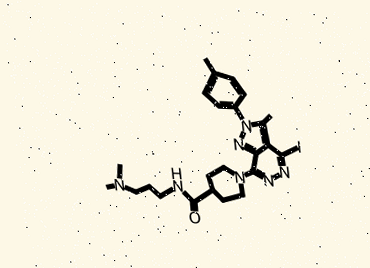 Cc1ccc(-n2nc3c(N4CCC(C(=O)NCCCN(C)C)CC4)nnc(I)c3c2C)cc1